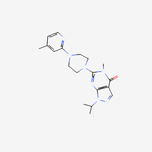 Cc1ccnc(N2CCN(c3nc4c(cnn4C(C)C)c(=O)n3C)CC2)c1